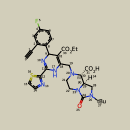 C#Cc1cc(F)ccc1C1N=C(c2nccs2)NC(CN2CCN3C(=O)N(C(C)(C)C)C[C@@H]3[C@H]2C(=O)O)=C1C(=O)OCC